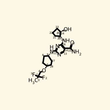 CC(F)(F)CO[C@H]1CC[C@H](Nc2ncc(C(N)=O)c(N[C@@H]3CCC[C@H]3O)n2)CC1